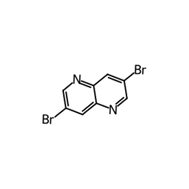 Brc1cnc2cc(Br)cnc2c1